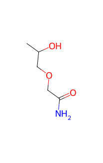 CC(O)COCC(N)=O